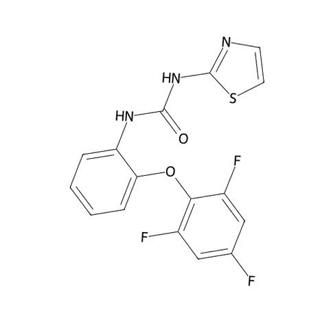 O=C(Nc1nccs1)Nc1ccccc1Oc1c(F)cc(F)cc1F